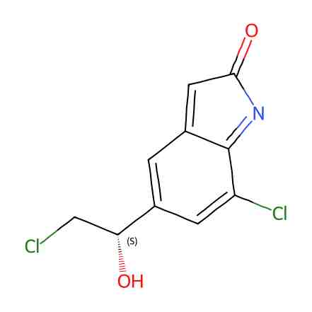 O=C1C=c2cc([C@H](O)CCl)cc(Cl)c2=N1